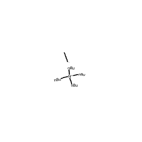 CCCC[N+](CCCC)(CCCC)CCCC.[CH2]C